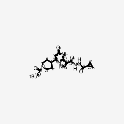 CC(C)(C)OC(=O)N1CCC(c2cc(=O)[nH]c3c(C(=O)NNC(=O)C4CC4)cnn23)CC1